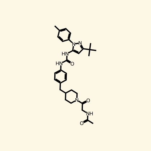 CC(=O)NCC(=O)N1CCC(Cc2ccc(NC(=O)Nc3cc(C(C)(C)C)nn3-c3ccc(C)cc3)cc2)CC1